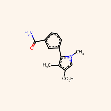 Cc1c(C(=O)O)cn(C)c1-c1cccc(C(N)=O)c1